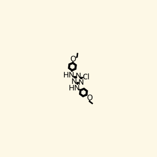 CCOc1ccc(Nc2nc(Cl)nc(Nc3ccc(OCC)cc3)n2)cc1